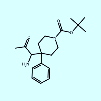 CC(=O)C(N)C1(c2ccccc2)CCN(C(=O)OC(C)(C)C)CC1